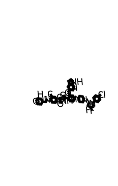 Cc1cc(S(=O)(=O)NC(=O)c2ccc(N3CCN(C[C@@H]4CC(F)(F)CN4c4ccc(Cl)cc4)CC3)cc2Oc2cnc3[nH]ccc3c2)ccc1NCC1CCOCC1